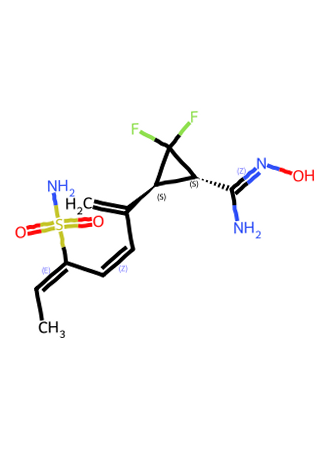 C=C(/C=C\C(=C/C)S(N)(=O)=O)[C@@H]1[C@@H](/C(N)=N/O)C1(F)F